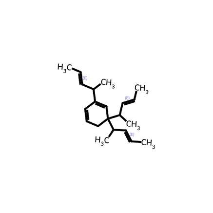 C/C=C/C(C)C1=CC(C(C)/C=C/C)(C(C)/C=C/C)CC=C1